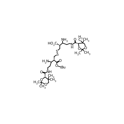 CC(C)(C)OC(=O)[C@H](CSSC[C@@H](C(=O)O)C(N)CCNC(=O)[C@@H]1OC(C)(C)OCC1(C)C)C(N)CCNC(=O)[C@@H]1OC(C)(C)OCC1(C)C